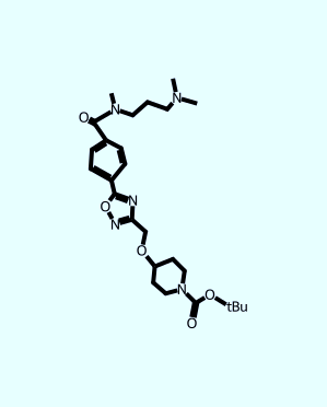 CN(C)CCCN(C)C(=O)c1ccc(-c2nc(COC3CCN(C(=O)OC(C)(C)C)CC3)no2)cc1